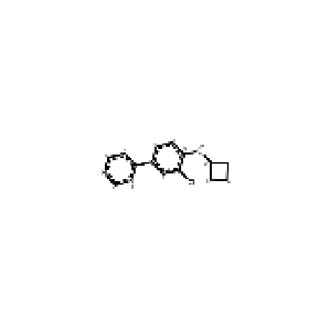 Clc1cc(-c2ccncn2)ccc1OC1CCC1